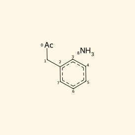 CC(=O)Cc1ccccc1.N